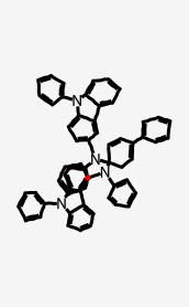 C1=CC(N(c2ccccc2)c2ccccc2)(N(c2ccc3c(c2)c2ccccc2n3-c2ccccc2)c2ccc3c(c2)c2ccccc2n3-c2ccccc2)CC=C1c1ccccc1